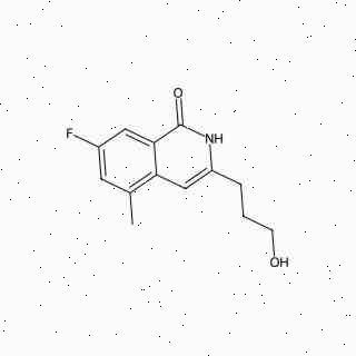 Cc1cc(F)cc2c(=O)[nH]c(CCCO)cc12